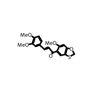 COc1ccc(C=CC(=O)c2cc3c(cc2OC)OCS3)cc1OC